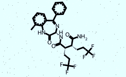 Cc1cccc2c1NC(=O)[C@@H](NC(=O)[C@@H](CCC(F)(F)F)[C@@H](CCC(F)(F)F)C(N)=O)N=C2c1ccccc1